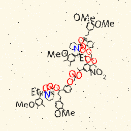 CC[C@H](C(=O)N1CCCCC1C(=O)O[C@H](CCc1ccc(OC)c(OC)c1)c1cccc(OCC(=O)OC(C)c2ccc(C(C)OC(=O)COc3cccc(C(CCc4ccc(OC)c(C)c4)OC(=O)[C@@H]4CCCCN4C(=O)[C@@H](CC)c4cc(C)c(C)c(OC)c4)c3)cc2[N+](=O)[O-])c1)c1cc(C)c(C)c(OC)c1